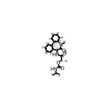 CC(C)NC(=O)O[C@@H](C)C(=O)NC1C(=O)N(C)c2ccccc2-c2ccccc21